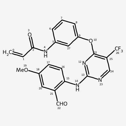 C=CC(=O)Nc1cccc(Oc2nc(Nc3ccc(OC)cc3C=O)ncc2C(F)(F)F)c1